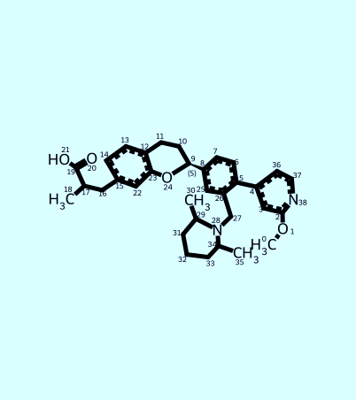 COc1cc(-c2ccc([C@@H]3CCc4ccc(CC(C)C(=O)O)cc4O3)cc2CN2C(C)CCCC2C)ccn1